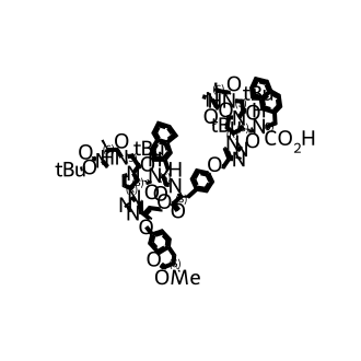 C=CCOC(=O)[C@H](Cc1ccc(OCc2cn([C@@H]3CCN(C(=O)[C@@H](NC(=O)[C@H](C)N(C)C(=O)OC(C)(C)C)C(C)(C)C)[C@@H]3C(=O)N[C@@H](Cc3ccc4ccccc4c3)C(=O)O)nn2)cc1)NC(=O)[C@H](Cc1ccc2ccccc2c1)NC(=O)[C@@H]1[C@H](n2cc(COc3ccc(C[C@H](C)C(=O)OC)cc3)nn2)CCN1C(=O)[C@@H](NC(=O)[C@H](C)N(C)C(=O)OC(C)(C)C)C(C)(C)C